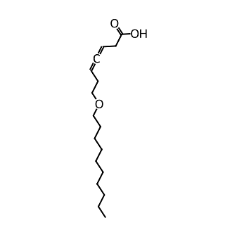 CCCCCCCCCCOCCC=C=CCC(=O)O